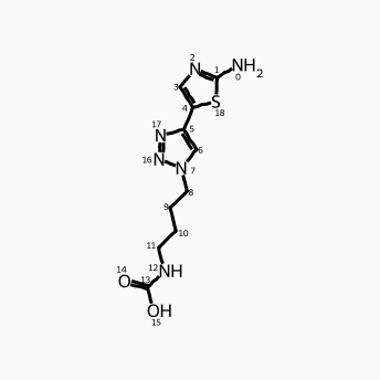 Nc1ncc(-c2cn(CCCCNC(=O)O)nn2)s1